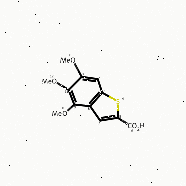 COc1cc2sc(C(=O)O)cc2c(OC)c1OC